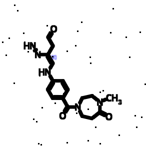 CN1CCN(C(=O)c2ccc(N/C=C(/CC=O)N=N)cc2)CCC1=O